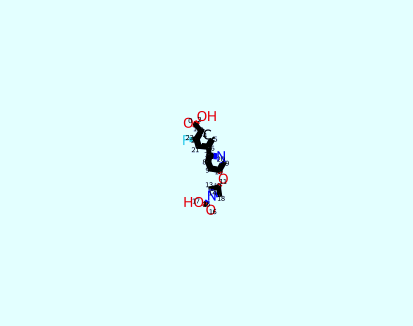 O=C(O)c1ccc(-c2ccc(OC3CN(C(=O)O)C3)cn2)cc1F